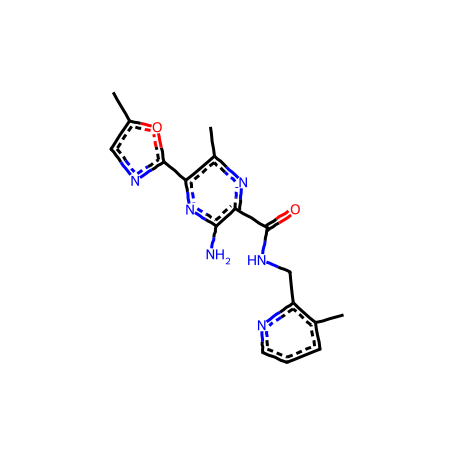 Cc1cnc(-c2nc(N)c(C(=O)NCc3ncccc3C)nc2C)o1